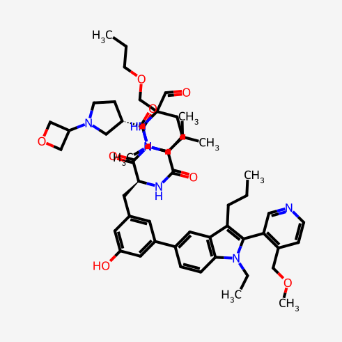 CCCOCC1(C=O)CCCN(C(=O)[C@H](Cc2cc(O)cc(-c3ccc4c(c3)c(CCC)c(-c3cnccc3COC)n4CC)c2)NC(=O)[C@H](C(C)C)N(C)C(=O)[C@H]2CCN(C3COC3)C2)N1